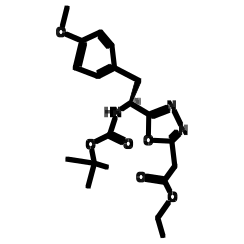 CCOC(=O)Cc1nnc([C@H](Cc2ccc(OC)cc2)NC(=O)OC(C)(C)C)o1